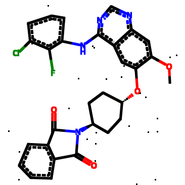 COc1cc2ncnc(Nc3cccc(Cl)c3F)c2cc1O[C@H]1CC[C@H](N2C(=O)c3ccccc3C2=O)CC1